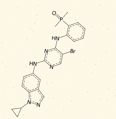 CP(C)(=O)c1ccccc1Nc1nc(Nc2ccc3c(cnn3C3CC3)c2)ncc1Br